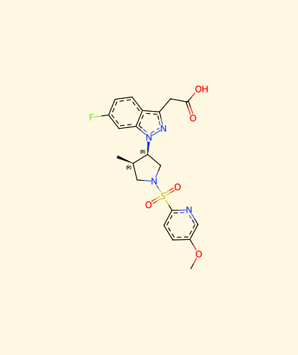 COc1ccc(S(=O)(=O)N2C[C@@H](C)[C@@H](n3nc(CC(=O)O)c4ccc(F)cc43)C2)nc1